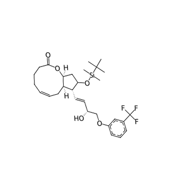 CC(C)(C)[Si](C)(C)OC1C[C@@H]2OC(=O)CCC/C=C\C[C@@H]2[C@H]1/C=C/[C@@H](O)COc1cccc(C(F)(F)F)c1